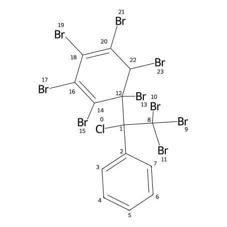 ClC(c1ccccc1)(C(Br)(Br)Br)C1(Br)C(Br)=C(Br)C(Br)=C(Br)C1Br